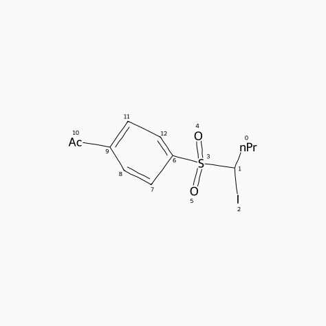 CCCC(I)S(=O)(=O)c1ccc(C(C)=O)cc1